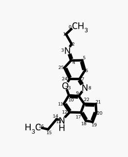 CCCN=c1ccc2nc3c(cc(NCCC)c4ccccc43)oc-2c1